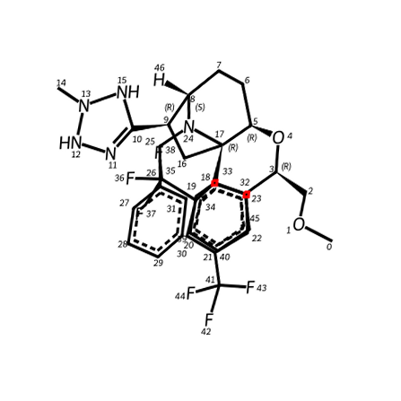 COC[C@H](O[C@@H]1CC[C@H]2[C@H](C3=NNN(C)N3)C[C@]1(c1ccccc1)N2Cc1ccccc1)c1cc(C(F)(F)F)cc(C(F)(F)F)c1